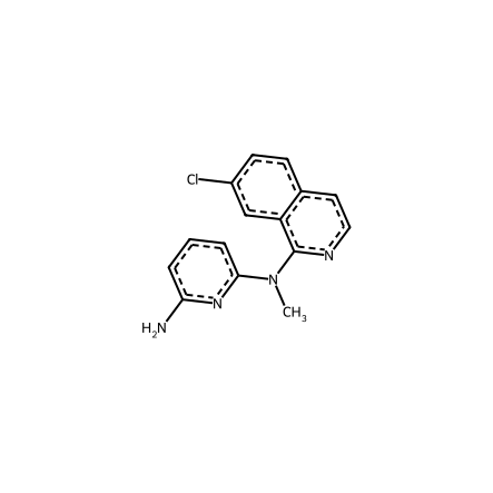 CN(c1cccc(N)n1)c1nccc2ccc(Cl)cc12